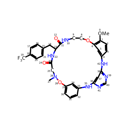 COc1ccc2cc1OCCNC(=O)C(Cc1ccc(C(F)(F)F)cc1)NC(=O)CN(C)Oc1cccc(c1)Nc1cc(ncn1)N2